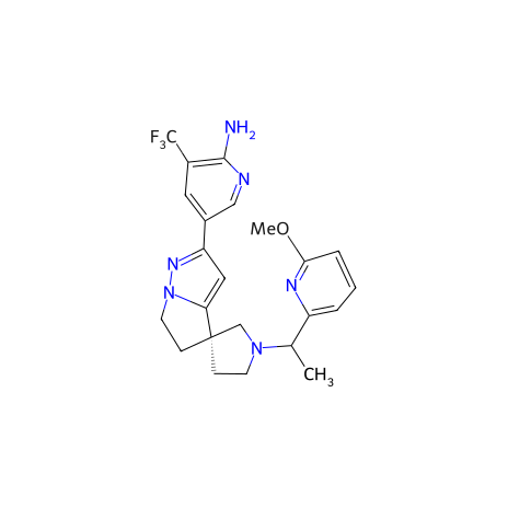 COc1cccc(C(C)N2CC[C@@]3(CCn4nc(-c5cnc(N)c(C(F)(F)F)c5)cc43)C2)n1